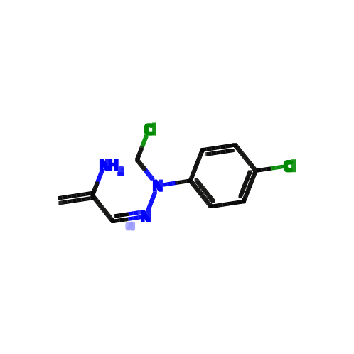 C=C(N)/C=N\N(CCl)c1ccc(Cl)cc1